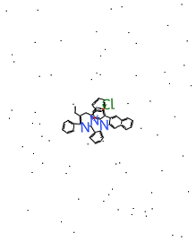 CCC1=C(c2ccccc2)N=C(c2ccccc2-n2c3cc4ccccc4cc3c3c(Cl)cccc32)N=C(c2ccccc2)C1